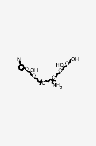 CC(C)(CCCOCC(O)COc1cccc(C#N)c1)OCCCC(C)(CN)OCCCOCC(O)COCCO